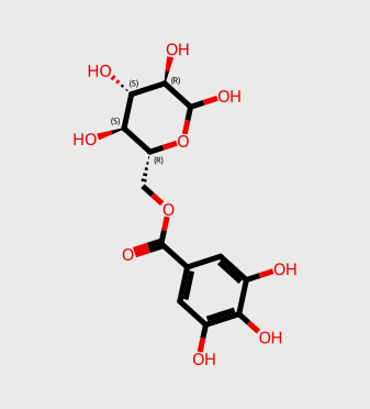 O=C(OC[C@H]1OC(O)[C@H](O)[C@@H](O)[C@@H]1O)c1cc(O)c(O)c(O)c1